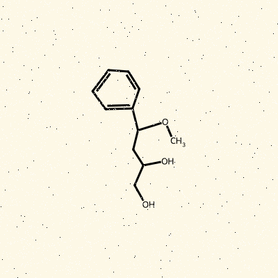 COC(CC(O)CO)c1ccccc1